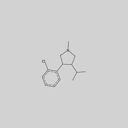 CC(C)C1CN(C)CC1c1ccccc1Cl